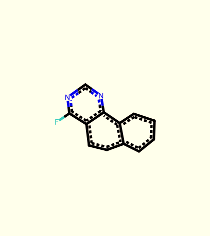 Fc1ncnc2c1ccc1ccccc12